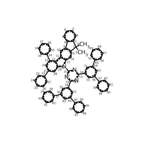 CC1(C)c2ccccc2-c2cc3c4c(-c5ccccc5)cc(-c5ccccc5)cc4n(-c4nc(-c5cc(-c6ccccc6)cc(-c6ccccc6)c5)nc(-c5cc(-c6ccccc6)cc(-c6ccccc6)c5)n4)c3cc21